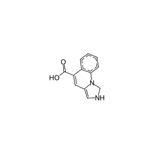 O=C(O)C1=CC2=CNCN2c2ccccc21